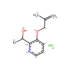 C=C(C)COc1cccnc1C(O)CC.Cl